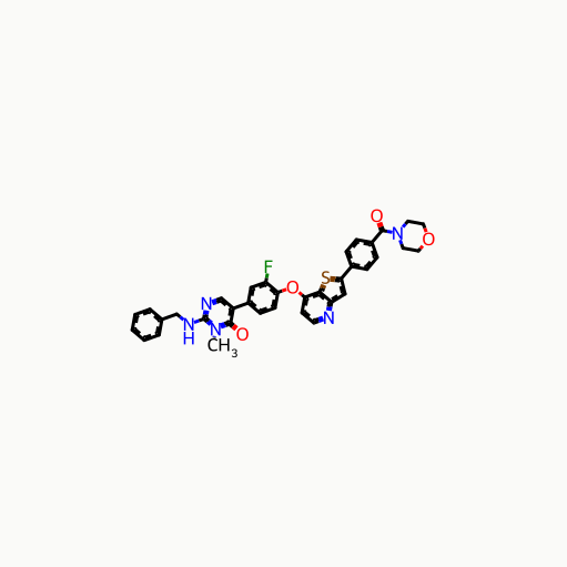 Cn1c(NCc2ccccc2)ncc(-c2ccc(Oc3ccnc4cc(-c5ccc(C(=O)N6CCOCC6)cc5)sc34)c(F)c2)c1=O